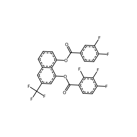 O=C(Oc1cccc2cc(C(F)(F)F)cc(OC(=O)c3ccc(F)c(F)c3F)c12)c1ccc(F)c(F)c1